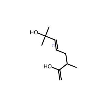 C=C(O)C(C)C/C=C/C(C)(C)O